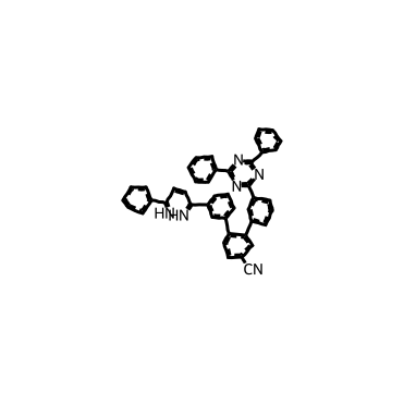 N#Cc1ccc(-c2cccc(C(=N)/C=C\C(=N)c3ccccc3)c2)c(-c2cccc(-c3nc(-c4ccccc4)nc(-c4ccccc4)n3)c2)c1